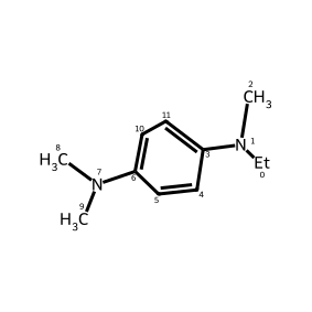 CCN(C)c1ccc(N(C)C)cc1